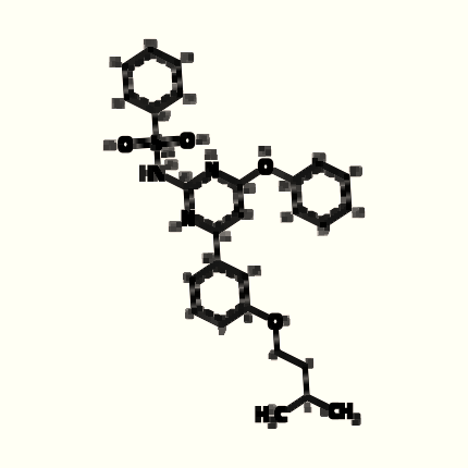 CC(C)CCOc1cccc(-c2cc(Oc3ccccc3)nc(NS(=O)(=O)c3ccccc3)n2)c1